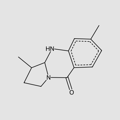 Cc1ccc2c(c1)NC1C(C)CCN1C2=O